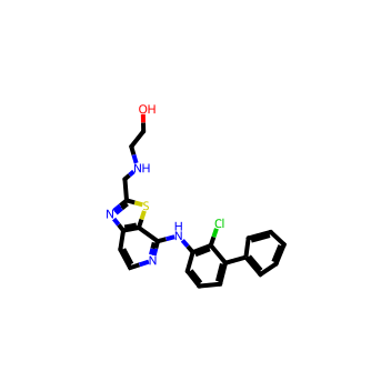 OCCNCc1nc2ccnc(Nc3cccc(-c4ccccc4)c3Cl)c2s1